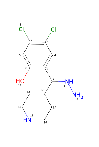 NNC(c1cc(Cl)c(Cl)cc1O)C1CCNCC1